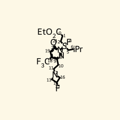 CCOC(=O)CCS(F)(CC(C)C)n1nc(CCN2CC(F)C2)c(C(F)(F)F)cc1=O